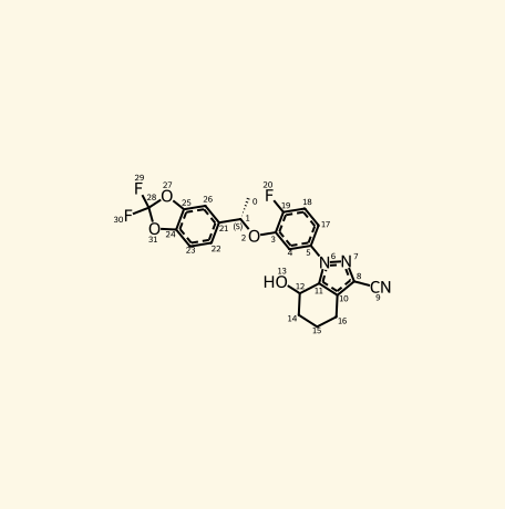 C[C@H](Oc1cc(-n2nc(C#N)c3c2C(O)CCC3)ccc1F)c1ccc2c(c1)OC(F)(F)O2